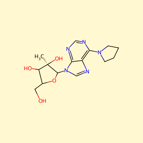 C[C@@]1(O)C(O)C(CO)OC1n1cnc2c(N3CCCC3)ncnc21